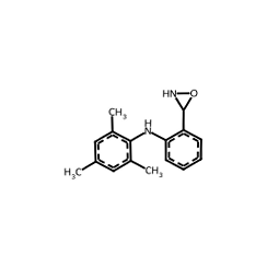 Cc1cc(C)c(Nc2ccccc2C2NO2)c(C)c1